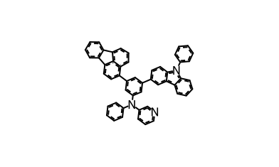 c1ccc(N(c2cccnc2)c2cc(-c3ccc4c(c3)c3ccccc3n4-c3ccccc3)cc(-c3ccc4c5c(cccc35)-c3ccccc3-4)c2)cc1